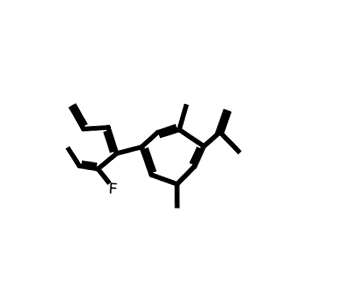 C=C/C=C(C1=CC(C)C=C(C(=C)C)C(C)=C1)\C(F)=C/C